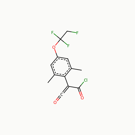 Cc1cc(OC(F)(F)CF)cc(C)c1C(=C=O)C(=O)Cl